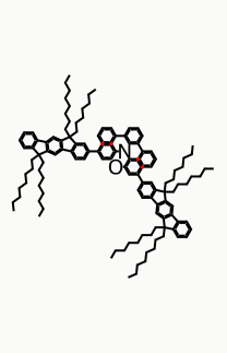 CCCCCCCCC1(CCCCCCC)c2cc(-c3ccc4c(c3)Oc3cc(-c5ccc6c(c5)C(CCCCCCC)(CCCCCCC)c5cc7c(cc5-6)C(CCCCCCCC)(CCCCCCCC)c5ccccc5-7)ccc3N4c3c(-c4ccccc4)cccc3-c3ccccc3)ccc2-c2cc3c(cc21)-c1ccccc1C3(CCCCCCCC)CCCCCCCC